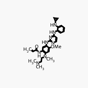 C=CC(=O)Nc1cc(Nc2nccc(Nc3ccccc3NC3CC3)n2)c(OC)cc1N(C)CCN(C)C